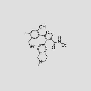 CCNC(=O)c1noc(-c2cc(CC(C)C)c(C)cc2O)c1-c1ccc2c(c1)CCN(C)C2